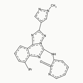 CC(C)c1cccc2c1nc(Nc1ccccnc1=O)n1nc(-c3cnn(C)c3)nc21